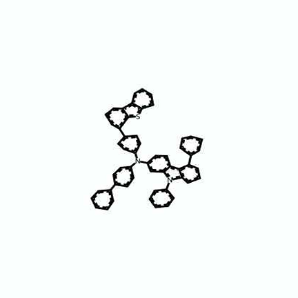 c1ccc(-c2ccc(N(c3ccc(-c4cccc5c4sc4ccccc45)cc3)c3ccc4c5c(-c6ccccc6)cccc5n(-c5ccccc5)c4c3)cc2)cc1